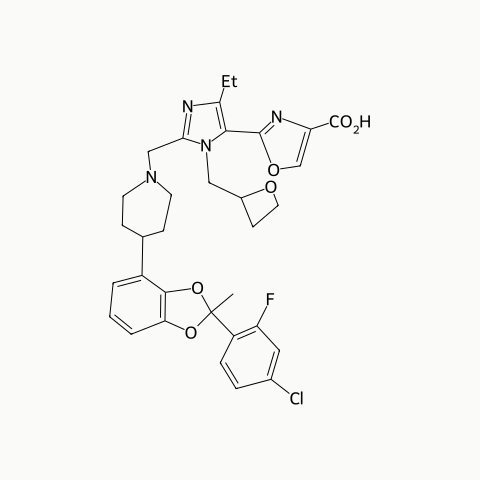 CCc1nc(CN2CCC(c3cccc4c3OC(C)(c3ccc(Cl)cc3F)O4)CC2)n(CC2CCO2)c1-c1nc(C(=O)O)co1